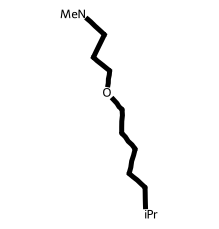 CNCCCOCCCCCC(C)C